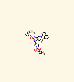 C=CS(=O)(=O)N1CCN(c2nc(OC[C@@H]3CCCN3C)nc3c2CCN(c2cccc4cccc(C)c24)C3)CC1